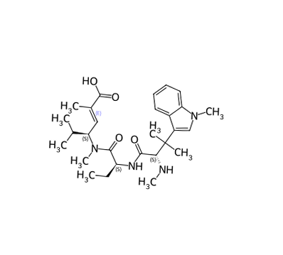 CC[C@H](NC(=O)[C@@H](NC)C(C)(C)c1cn(C)c2ccccc12)C(=O)N(C)[C@H](/C=C(\C)C(=O)O)C(C)C